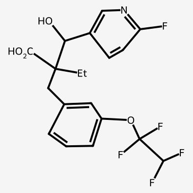 CCC(Cc1cccc(OC(F)(F)C(F)F)c1)(C(=O)O)C(O)c1ccc(F)nc1